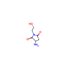 NC1CC(=O)N(CCO)C1=O